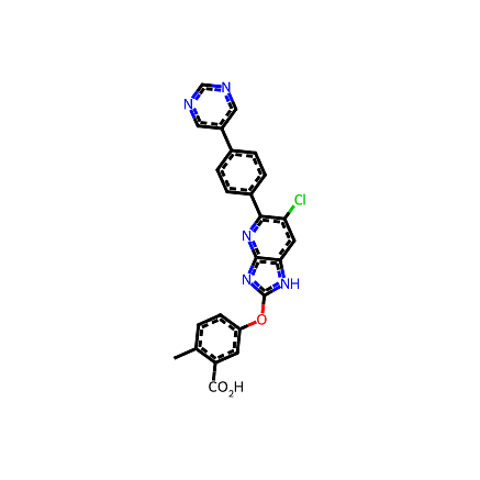 Cc1ccc(Oc2nc3nc(-c4ccc(-c5cncnc5)cc4)c(Cl)cc3[nH]2)cc1C(=O)O